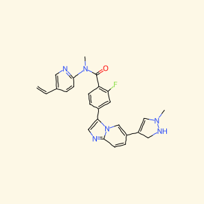 C=Cc1ccc(N(C)C(=O)c2ccc(-c3cnc4ccc(C5=CN(C)NC5)cn34)cc2F)nc1